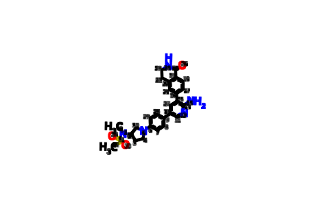 CN([C@H]1CCN(c2ccc(-c3cnc(N)c(-c4ccc5c(c4)CCNC5=O)c3)cc2)C1)S(C)(=O)=O